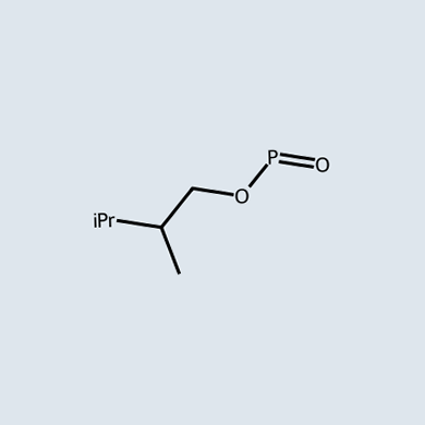 CC(C)C(C)COP=O